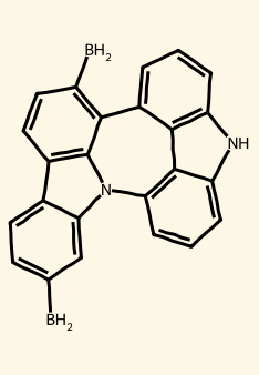 Bc1ccc2c3ccc(B)c4c5cccc6[nH]c7cccc(c7c65)n(c2c1)c34